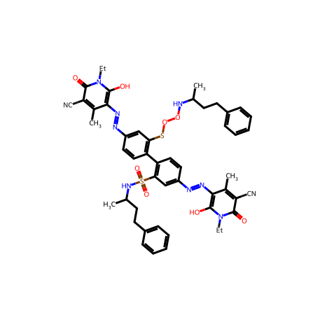 CCn1c(O)c(N=Nc2ccc(-c3ccc(N=Nc4c(C)c(C#N)c(=O)n(CC)c4O)cc3S(=O)(=O)NC(C)CCc3ccccc3)c(SOONC(C)CCc3ccccc3)c2)c(C)c(C#N)c1=O